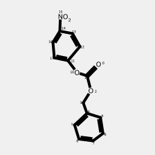 O=C(OCc1ccccc1)Oc1ccc([N+](=O)[O-])cc1